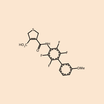 COc1cccc(-c2c(F)c(F)c(NC(=O)C3=C(C(=O)O)CSC3)c(F)c2F)c1